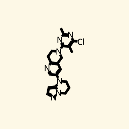 Cc1nc(Cl)c(C)c(N2CCc3ncc(N4CCCn5nccc54)cc3C2)n1